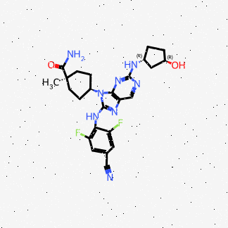 C[C@]1(C(N)=O)CC[C@@H](n2c(Nc3c(F)cc(C#N)cc3F)nc3cnc(N[C@@H]4CC[C@@H](O)C4)nc32)CC1